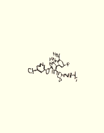 CNc1cc(F)cc2c1[nH]c1nc(Oc3cncc(Cl)c3)nc(N3C[C@H](N)C4(CC4)C3)c12